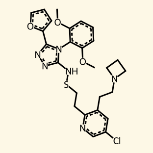 COc1cccc(OC)c1-n1c(NSCCc2ncc(Cl)cc2CCN2CCC2)nnc1-c1ccco1